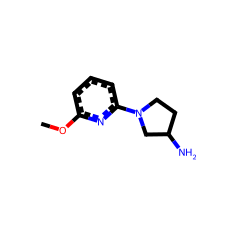 COc1cccc(N2CCC(N)C2)n1